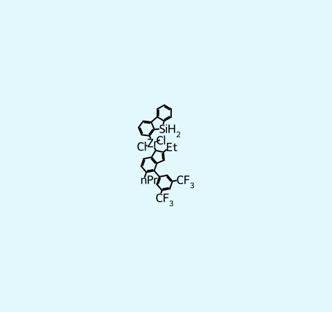 CCCc1ccc2c(c1-c1cc(C(F)(F)F)cc(C(F)(F)F)c1)C=C(CC)[CH]2[Zr]([Cl])([Cl])[c]1cccc2c1[SiH2]c1ccccc1-2